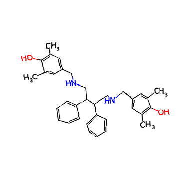 Cc1cc(CNCC(c2ccccc2)C(CNCc2cc(C)c(O)c(C)c2)c2ccccc2)cc(C)c1O